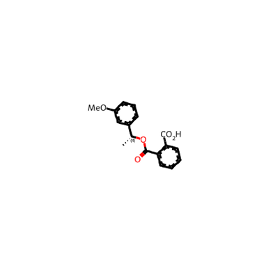 COc1cccc([C@@H](C)OC(=O)c2ccccc2C(=O)O)c1